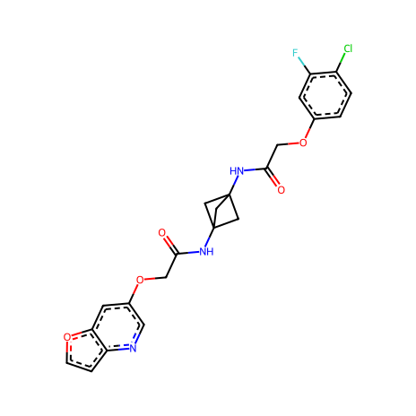 O=C(COc1ccc(Cl)c(F)c1)NC12CC(NC(=O)COc3cnc4ccoc4c3)(C1)C2